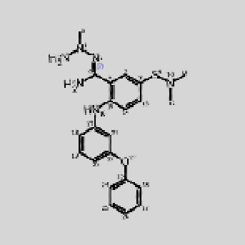 CN(N)/N=C(\N)c1cc(SN(C)C)ccc1Nc1cccc(Oc2ccccc2)c1